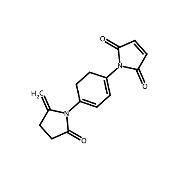 C=C1CCC(=O)N1C1=CC=C(N2C(=O)C=CC2=O)CC1